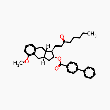 CCCCCC(=O)/C=C/[C@@H]1[C@H]2Cc3cccc(OC)c3C[C@H]2C[C@H]1OC(=O)c1ccc(-c2ccccc2)cc1